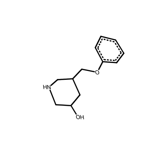 OC1CNCC(COc2ccccc2)C1